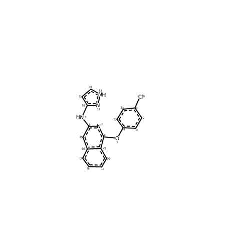 Clc1ccc(Oc2nc(Nc3cc[nH]n3)cc3ccccc23)cc1